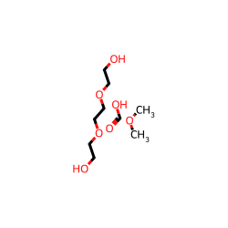 COC.O=CO.OCCOCCOCCO